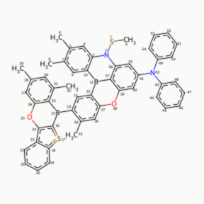 CSN1c2cc(C)c(C)cc2B2c3cc(B4c5sc6ccccc6c5Oc5cc(C)cc(C)c54)c(C)cc3Oc3cc(N(c4ccccc4)c4ccccc4)cc1c32